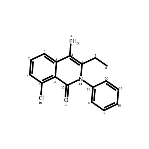 CCc1c(P)c2cccc(Cl)c2c(=O)n1-c1ccccc1